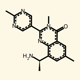 Cc1cc([C@@H](C)N)c2nc(-c3cnc(C)nc3)n(C)c(=O)c2c1